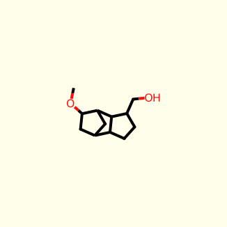 COC1CC2CC1C1C(CO)CCC21